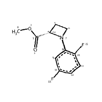 COC(=O)[C@@H]1CCN1c1cc(F)ccc1F